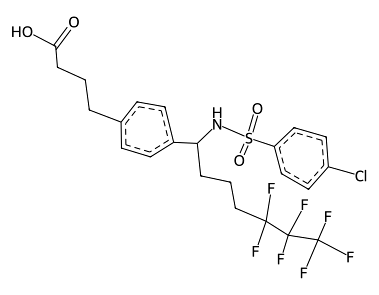 O=C(O)CCCc1ccc(C(CCCC(F)(F)C(F)(F)C(F)(F)F)NS(=O)(=O)c2ccc(Cl)cc2)cc1